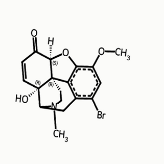 COc1cc(Br)c2c3c1O[C@@H]1C(=O)C=C[C@]4(O)C(C2)N(C)CC[C@@]314